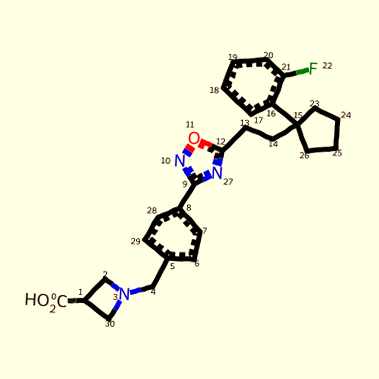 O=C(O)C1CN(Cc2ccc(-c3noc(CCC4(c5ccccc5F)CCCC4)n3)cc2)C1